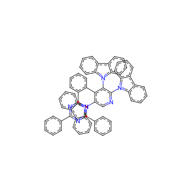 c1ccc(-c2nc(-c3ccccc3)nc(-c3ccccc3-c3c(-n4c5ccccc5c5ccccc54)cnc(-n4c5ccccc5c5ccccc54)c3-n3c4ccccc4c4ccccc43)n2)cc1